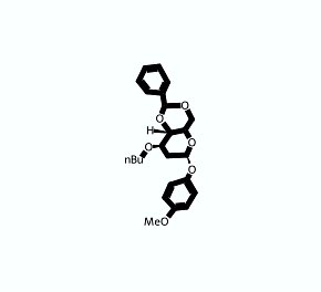 CCCCO[C@@H]1C[C@@H](Oc2ccc(OC)cc2)OC2COC(c3ccccc3)O[C@H]21